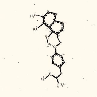 CCOC(Cc1ccc(OCc2cnc3ccc(C)c(C)c3c2OC(C)C)cc1)C(=O)O